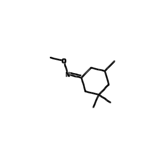 CON=C1CC(C)CC(C)(C)C1